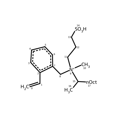 C=Cc1ccccc1C[N+](C)(CCCS(=O)(=O)O)C(C)CCCCCCCC